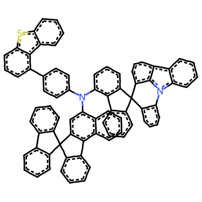 c1ccc2c(c1)-c1ccccc1C21c2ccccc2-c2c1cc(N(c1ccc(-c3cccc4sc5ccccc5c34)cc1)c1cccc3c1-c1ccccc1C31c3ccccc3-n3c4ccccc4c4cccc1c43)c1ccccc21